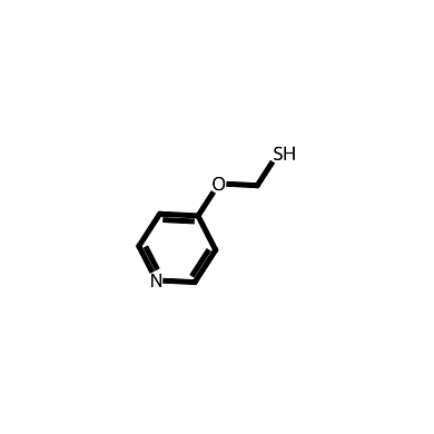 SCOc1ccncc1